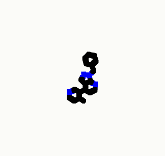 Cc1ccncc1-c1ccnc2c1cnn2Cc1ccccc1